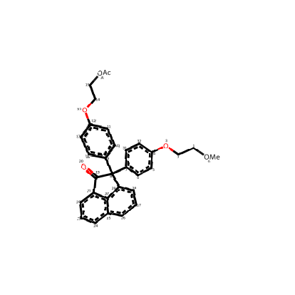 COCCOc1ccc(C2(c3ccc(OCCOC(C)=O)cc3)C(=O)c3cccc4cccc2c34)cc1